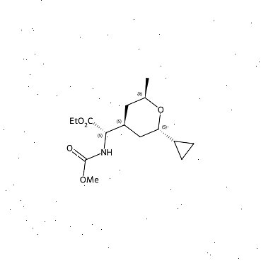 CCOC(=O)[C@@H](NC(=O)OC)[C@H]1C[C@@H](C)O[C@H](C2CC2)C1